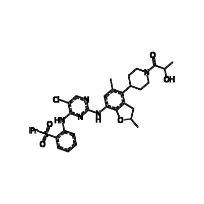 Cc1cc(Nc2ncc(Cl)c(Nc3ccccc3S(=O)(=O)C(C)C)n2)c2c(c1C1CCN(C(=O)C(C)O)CC1)CC(C)O2